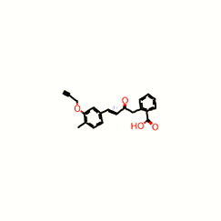 C#CCOc1cc(/C=C/C(=O)Cc2ccccc2C(=O)O)ccc1C